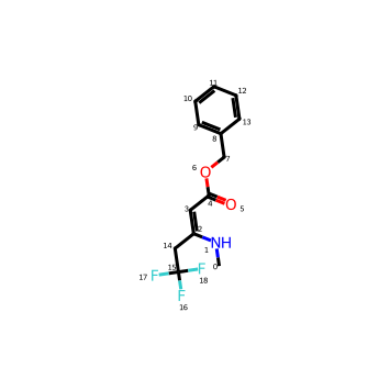 CNC(=CC(=O)OCc1ccccc1)CC(F)(F)F